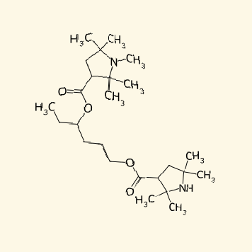 CCC(CCCOC(=O)C1CC(C)(C)NC1(C)C)OC(=O)C1CC(C)(C)N(C)C1(C)C